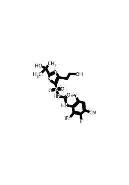 CC(C)c1cc(C#N)c(F)c(C(C)C)c1NC(=O)NS(=O)(=O)c1sc(C(C)(C)O)nc1CCO